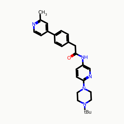 Cc1cc(-c2ccc(CC(=O)Nc3ccc(N4CCN(C(C)(C)C)CC4)nc3)cc2)ccn1